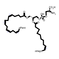 CCCCC/C=C\C/C=C\C/C=C\C/C=C\CCCC(=O)OC[C@H](COP(=O)(O)OC[C@H](N)C(=O)O)OC(=O)CCCCCCC/C=C\CCCCCCC